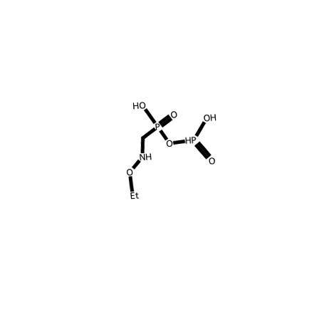 CCONCP(=O)(O)O[PH](=O)O